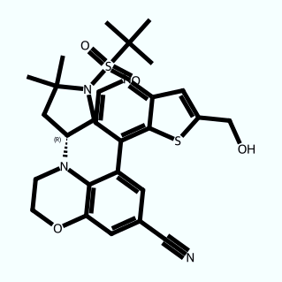 CC1(C)C[C@@H](N2CCOc3cc(C#N)cc(-c4ccnc5cc(CO)sc45)c32)CN1S(=O)(=O)C(C)(C)C